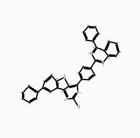 Clc1nc(-c2ccc(-c3nc(-c4ccccc4)c4ccccc4n3)cc2)c2oc3ccc(-c4ccccc4)cc3c2n1